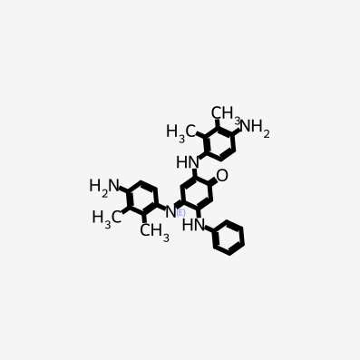 Cc1c(N)ccc(/N=C2\C=C(Nc3ccc(N)c(C)c3C)C(=O)C=C2Nc2ccccc2)c1C